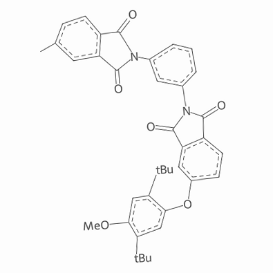 COc1cc(C(C)(C)C)c(Oc2ccc3c(c2)C(=O)N(c2cccc(N4C(=O)c5ccc(C)cc5C4=O)c2)C3=O)cc1C(C)(C)C